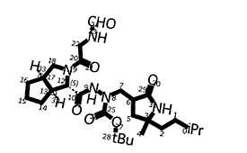 CC(C)CCC1(C)CC(CN(NC(=O)[C@@H]2[C@H]3CCC[C@H]3CN2C(=O)CNC=O)C(=O)OC(C)(C)C)C(=O)N1